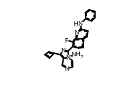 N[N+]12C=CN=CC1=C(C1=CC=C1)N=C2c1ccc2ccc(Nc3ccccc3)nc2c1F